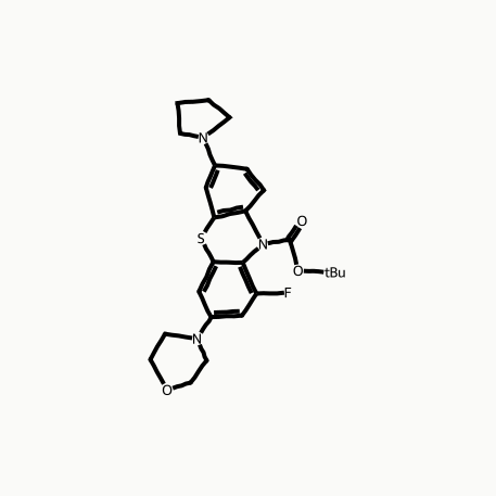 CC(C)(C)OC(=O)N1c2ccc(N3CCCC3)cc2Sc2cc(N3CCOCC3)cc(F)c21